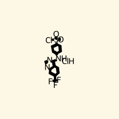 Cl.O=S(=O)(Cl)c1ccc(Nc2ncnc3cc(C(F)(F)F)ccc23)cc1